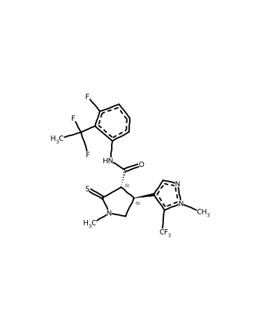 CN1C[C@H](c2cnn(C)c2C(F)(F)F)[C@@H](C(=O)Nc2cccc(F)c2C(C)(F)F)C1=S